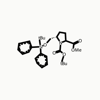 COC(=O)C1CC[C@@H](CO[Si](c2ccccc2)(c2ccccc2)C(C)(C)C)N1C(=O)OC(C)(C)C